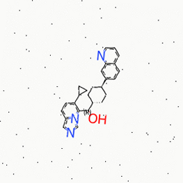 O[C@@H](c1c(C2CC2)ccc2cncn12)[C@H]1CC[C@H](c2ccc3cccnc3c2)CC1